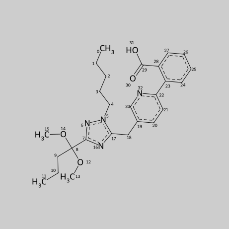 CCCCCn1nc(C(CCC)(OC)OC)nc1Cc1ccc(-c2ccccc2C(=O)O)nc1